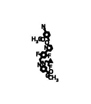 COC(=O)c1ccc2nc(Cc3cc(F)c(-c4cccc(OCc5ccc(C#N)cc5OC)n4)cc3F)n(CC3(CF)CC3)c2c1